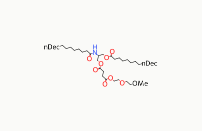 CCCCCCCCCCCCCCCCCC(=O)NC(COC(=O)CCCCCCCCCCCCCCCCC)COC(=O)CCC(=O)OCCOCCOC